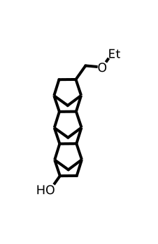 CCOCC1CC2CC1C1C3CC(C21)C1C2CC(CC2O)C31